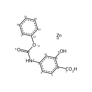 O=C(Nc1ccc(C(=O)O)c(O)c1)Oc1ccccc1.[Zn]